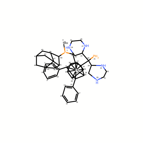 CC(C)(C)P(C[C]12[C]3(c4ccccc4)[C]4(c5ccccc5)[CH]5[C]1(C(P)(C1CNCCN1)C1CNCCN1)[Fe]54231678[CH]2[CH]1[CH]6[CH]7[CH]28)C1C2CC3CC(C2)CC1C3